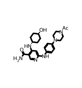 CC(=O)N1CCN(c2ccc(Nc3cc(N[C@H]4CC[C@H](O)CC4)c(C(N)=O)cn3)cc2)CC1